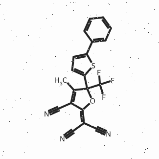 CC1=C(C#N)C(=C(C#N)C#N)OC1(c1ccc(-c2ccccc2)s1)C(F)(F)F